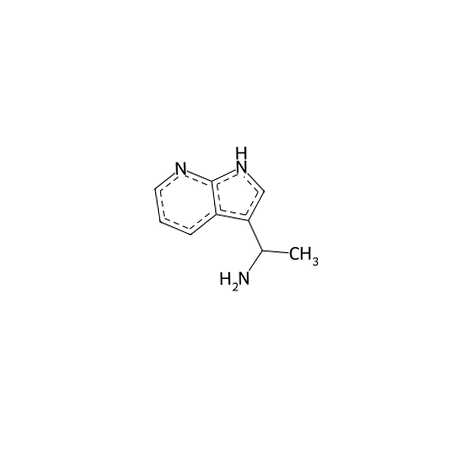 CC(N)c1c[nH]c2ncccc12